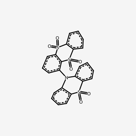 O=S1(=O)c2ccccc2N(c2cccc3c2S(=O)(=O)c2ccccc2S3(=O)=O)c2ccccc21